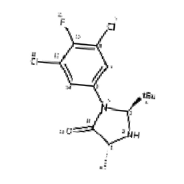 C[C@H]1N[C@H](C(C)(C)C)N(c2cc(Cl)c(F)c(Cl)c2)C1=O